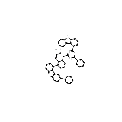 CC/C=C\c1c(Cc2nc(-c3ccccc3)nc(-c3cccc4sc5ccccc5c34)n2)cccc1-c1cccc2oc3ccc(-c4ccccc4)cc3c12